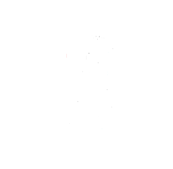 CO[SiH](O)C(F)(F)Oc1ccc(F)c(F)c1F